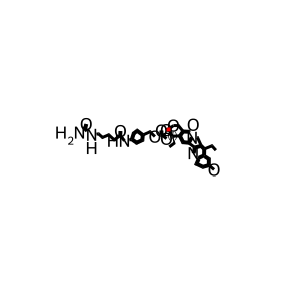 CCc1c2c(nc3ccc(OC)cc13)-c1cc3c(c(=O)n1C2)COC(=O)[C@@]3(CC)OC(=O)OCc1ccc(NC(=O)CCCCNC(N)=O)cc1